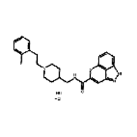 Cl.Cl.O=C(NCC1CCN(CCc2ccccc2F)CC1)C1=Cc2n[nH]c3cccc(c23)S1